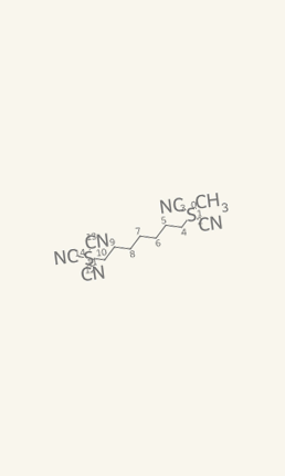 CS(C#N)(C#N)CCCCCCCS(C#N)(C#N)C#N